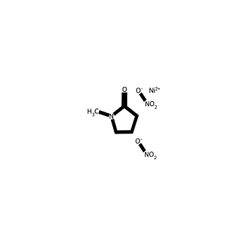 CN1CCCC1=O.O=[N+]([O-])[O-].O=[N+]([O-])[O-].[Ni+2]